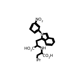 CC(C)CC(NC(Cc1c2ccccc2cn1-c1cccc([N+](=O)[O-])c1)C(=O)O)C(=O)O